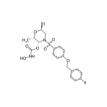 CC[C@H]1CN(S(=O)(=O)c2ccc(OCc3ccc(F)cc3)cc2)[C@H](OC(=O)NO)[C@H](C)O1